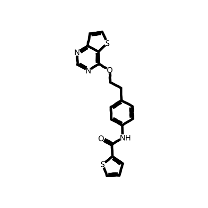 O=C(Nc1ccc(CCOc2ncnc3ccsc23)cc1)c1cccs1